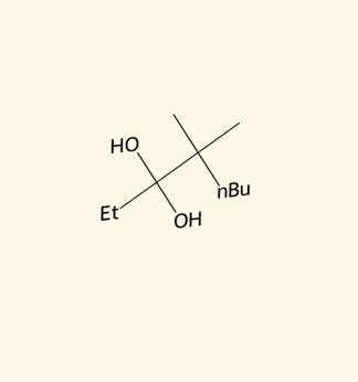 CCCCC(C)(C)C(O)(O)CC